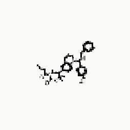 CCCC(=O)N1N=C(c2ccc3c(c2)CCCN3/C(=N\Cc2ccccc2)c2ccc(OC)cc2)C(C)(C)SC1=O